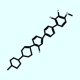 COc1ccc(-c2ccc(-c3ccc(C4=CCC(C5CCC(C)CC5)CC4)c(F)c3)cc2)c(F)c1F